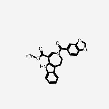 CCCOC(=O)C1=CN(C(=O)c2ccc3c(c2)OCO3)CCc2c1[nH]c1ccccc21